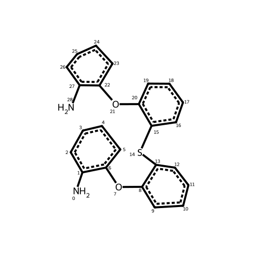 Nc1ccccc1Oc1ccccc1Sc1ccccc1Oc1ccccc1N